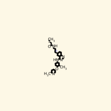 CSCC(=O)NC/C=C/c1ccc2ncnc(Nc3ccc(Oc4ccc(C)nc4)c(C)c3)c2c1